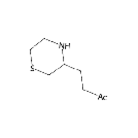 CC(=O)CCC1CSCCN1